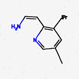 Cc1cnc(/C=C\N)c(C(C)C)c1